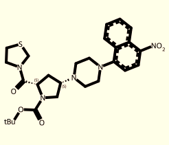 CC(C)(C)OC(=O)N1C[C@@H](N2CCN(c3ccc([N+](=O)[O-])c4ccccc34)CC2)C[C@H]1C(=O)N1CCSC1